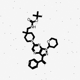 C=C(c1ccccc1)c1nn(C2CCCCO2)c2nc(N3CCC(C)(CNC(=O)OC(C)(C)C)CC3)cnc12